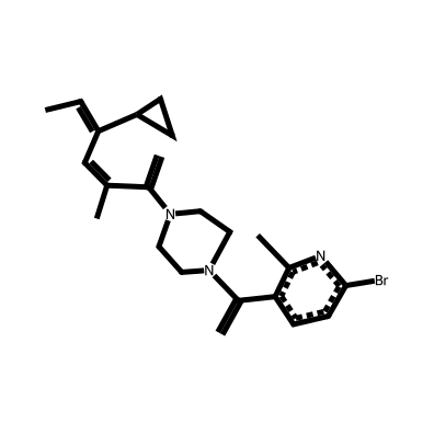 C=C(/C(C)=C\C(=C/C)C1CC1)N1CCN(C(=C)c2ccc(Br)nc2C)CC1